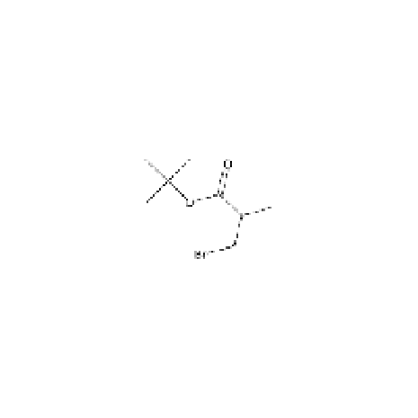 CC(CBr)C(=O)OC(C)(C)C